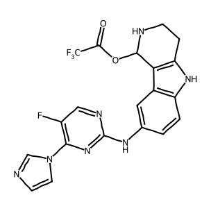 O=C(OC1NCCc2[nH]c3ccc(Nc4ncc(F)c(-n5ccnc5)n4)cc3c21)C(F)(F)F